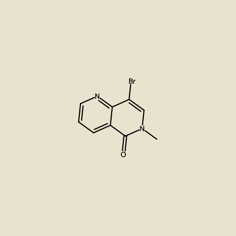 Cn1cc(Br)c2ncccc2c1=O